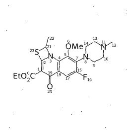 CCOC(=O)c1c2n(c3c(OC)c(N4CCN(C)CC4)c(F)cc3c1=O)C(C)S2